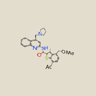 COCc1ccc(C(C)=O)c2sc(C(=O)Nc3cc(CN4CCCC4)c4ccccc4n3)c(C)c12